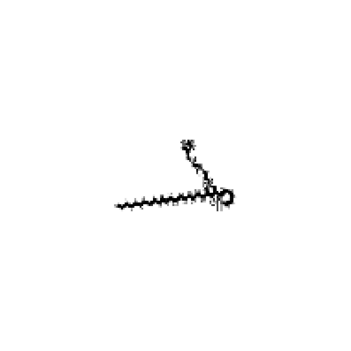 CCCCCCCCCCCCCCCCCCCCC(C#N)C(=O)C(CCOCCOCCOCC1=C[N]N=N1)C1=CC=CC=CN1